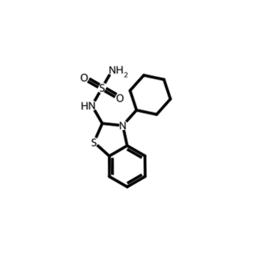 NS(=O)(=O)NC1Sc2ccccc2N1C1CCCCC1